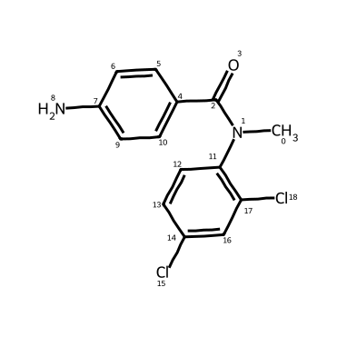 CN(C(=O)c1ccc(N)cc1)c1ccc(Cl)cc1Cl